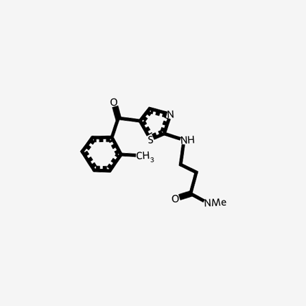 CNC(=O)CCNc1ncc(C(=O)c2ccccc2C)s1